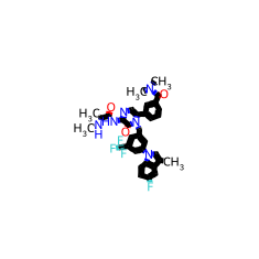 CN[C@@H](C)C(=O)Nc1ncc(-c2cccc(C(=O)N(C)C)c2)n(Cc2cc(-n3cc(C)c4cc(F)ccc43)cc(C(F)(F)F)c2)c1=O